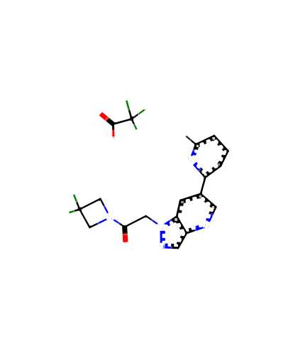 O=C(Cn1ncc2ncc(-c3cccc(C(F)(F)F)n3)cc21)N1CC(F)(F)C1.O=C(O)C(F)(F)F